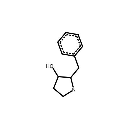 OC1CC[N]C1Cc1ccccc1